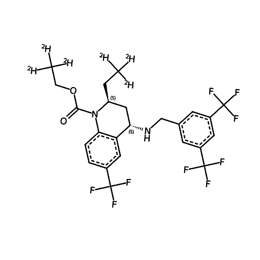 [2H]C([2H])([2H])COC(=O)N1c2ccc(C(F)(F)F)cc2[C@@H](NCc2cc(C(F)(F)F)cc(C(F)(F)F)c2)C[C@@H]1CC([2H])([2H])[2H]